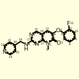 Cn1c(=O)c(Oc2ccccc2F)cc2cnc(NCc3ccncc3)nc21